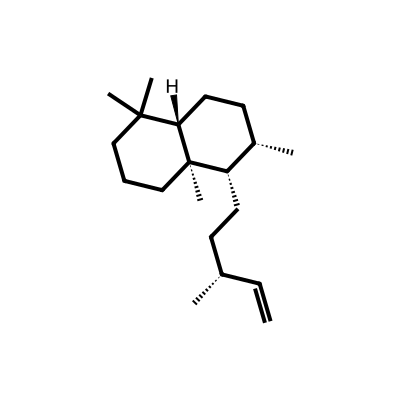 C=C[C@H](C)CC[C@H]1[C@@H](C)CC[C@H]2C(C)(C)CCC[C@]12C